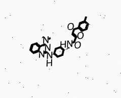 Cc1ccc2oc(C(=O)NC[C@H]3CC[C@@H](Nc4nc(N(C)C)c5ccccc5n4)CC3)cc(=O)c2c1